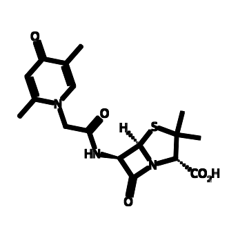 Cc1cn(CC(=O)N[C@@H]2C(=O)N3[C@@H]2SC(C)(C)[C@@H]3C(=O)O)c(C)cc1=O